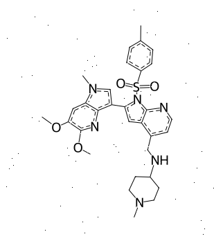 COc1cc2c(nc1OC)c(-c1cc3c(CNC4CCN(C)CC4)ccnc3n1S(=O)(=O)c1ccc(C)cc1)cn2C